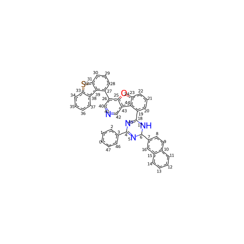 c1ccc(C2=NC(c3ccc4ccccc4c3)NC(c3cccc4oc5c(-c6cccc7sc8ccccc8c67)cncc5c34)=N2)cc1